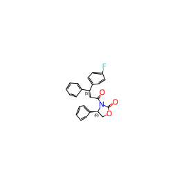 O=C(C[C@@H](c1ccccc1)c1ccc(F)cc1)N1C(=O)OC[C@H]1c1ccccc1